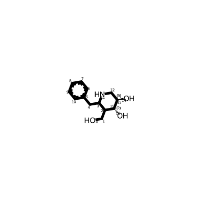 OCC1C(Cc2ccccc2)NC[C@@H](O)[C@@H]1O